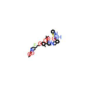 CCOC(=O)CN1CCC(F)(CCCOc2ccc(-c3ccc(N4CCc5cccc(C(=O)Nc6nc7ccccc7s6)c5C4)nc3C(=O)OC(C)(C)C)c(C)c2)CC1